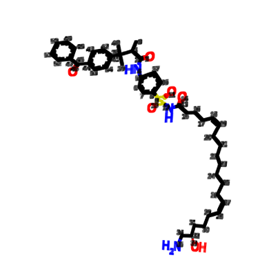 CC(C(=O)Nc1ccc(S(=O)(=O)NC(=O)CCC/C=C\CCCCCCC/C=C\CCC[C@H](O)CN)cc1)C(C)(C)c1ccc(C(=O)c2ccccc2)cc1